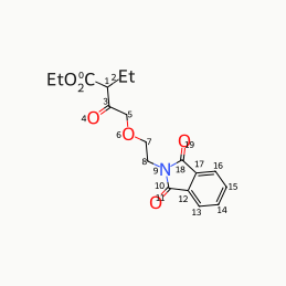 CCOC(=O)C(CC)C(=O)COCCN1C(=O)c2ccccc2C1=O